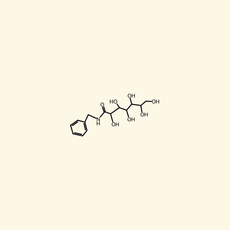 O=C(NCc1ccccc1)C(O)C(O)C(O)C(O)C(O)CO